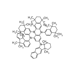 CC1(C)CCC(C)(C)c2cc(N3c4cc5c(cc4B4c6cc7c(cc6N(c6cccc8c6-c6ccccc6C8(C)C)c6cc(N8c9cc%10ccccc%10cc9C9(C)CCCCC89C)cc3c64)C(C)(C)CCC7(C)C)C(C)(C)CCC5(C)C)ccc21